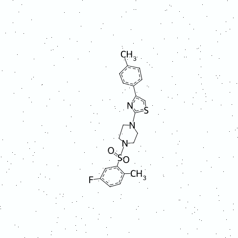 Cc1ccc(-c2csc(N3CCN(S(=O)(=O)c4cc(F)ccc4C)CC3)n2)cc1